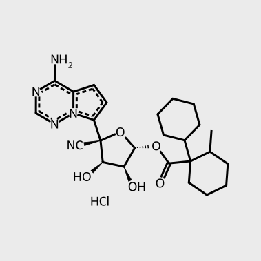 CC1CCCCC1(C(=O)O[C@H]1O[C@@](C#N)(c2ccc3c(N)ncnn23)[C@H](O)[C@@H]1O)C1CCCCC1.Cl